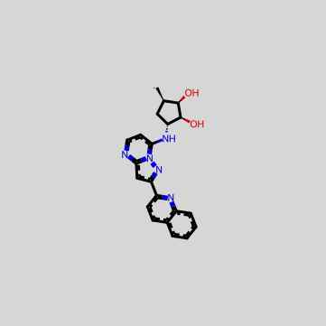 [CH2][C@@H]1C[C@@H](Nc2ccnc3cc(-c4ccc5ccccc5n4)nn23)[C@H](O)[C@@H]1O